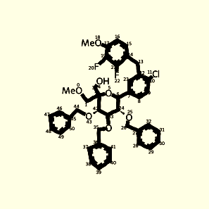 COCC1(CO)OC(c2ccc(Cl)c(Cc3ccc(OC)c(F)c3F)c2)[C@H](OCc2ccccc2)C(OCc2ccccc2)[C@@H]1OCc1ccccc1